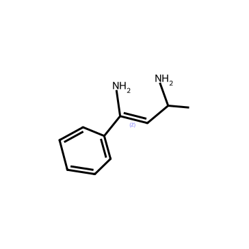 CC(N)/C=C(\N)c1ccccc1